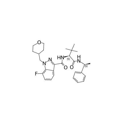 C[C@H](NC(=O)[C@@H](NC(=O)c1nn(CC2CCOCC2)c2c(F)cccc12)C(C)(C)C)c1ccccc1